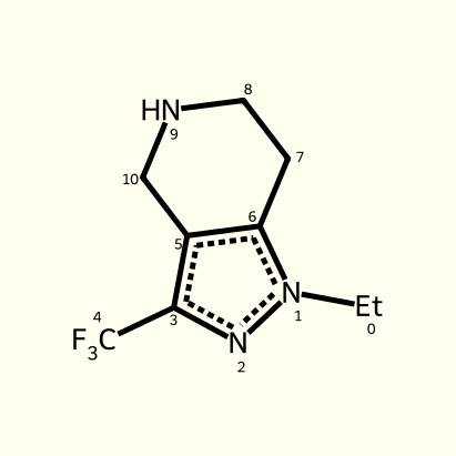 CCn1nc(C(F)(F)F)c2c1CCNC2